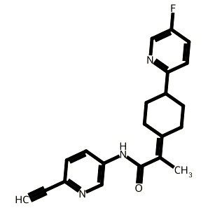 C#Cc1ccc(NC(=O)C(C)=C2CCC(c3ccc(F)cn3)CC2)cn1